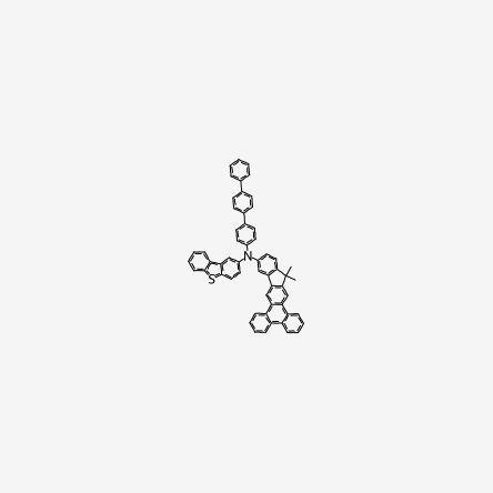 CC1(C)c2ccc(N(c3ccc(-c4ccc(-c5ccccc5)cc4)cc3)c3ccc4sc5ccccc5c4c3)cc2-c2cc3c4ccccc4c4ccccc4c3cc21